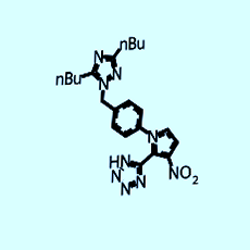 CCCCc1nc(CCCC)n(Cc2ccc(-n3ccc([N+](=O)[O-])c3-c3nnn[nH]3)cc2)n1